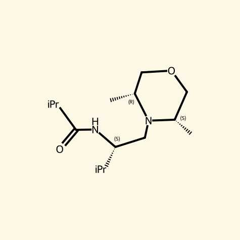 CC(C)C(=O)N[C@H](CN1[C@H](C)COC[C@@H]1C)C(C)C